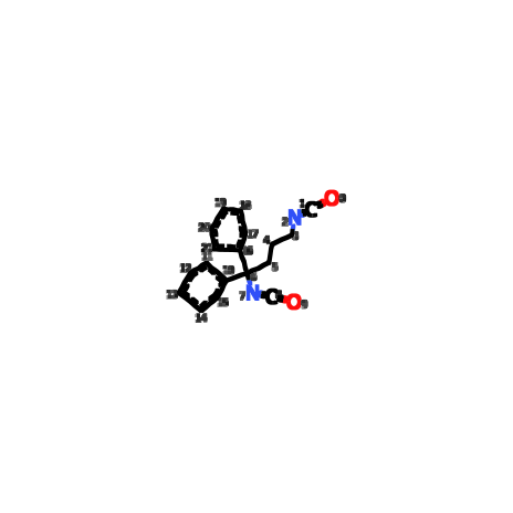 O=C=NCCCC(N=C=O)(c1ccccc1)c1ccccc1